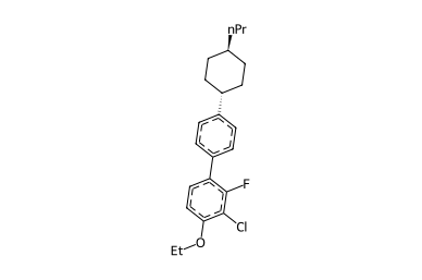 CCC[C@H]1CC[C@H](c2ccc(-c3ccc(OCC)c(Cl)c3F)cc2)CC1